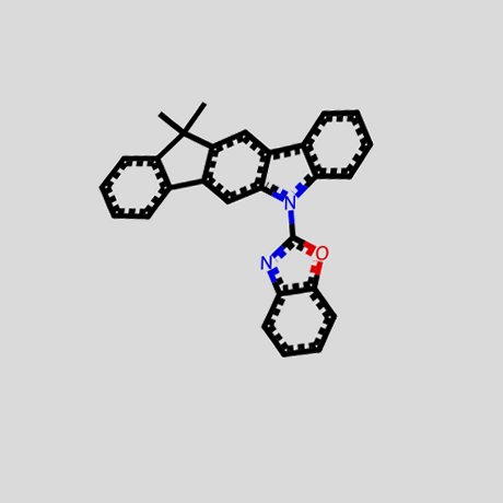 CC1(C)c2ccccc2-c2cc3c(cc21)c1ccccc1n3-c1nc2ccccc2o1